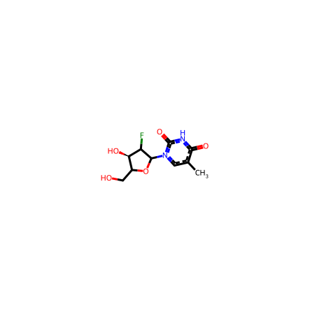 Cc1cn(C2OC(CO)[C@@H](O)C2F)c(=O)[nH]c1=O